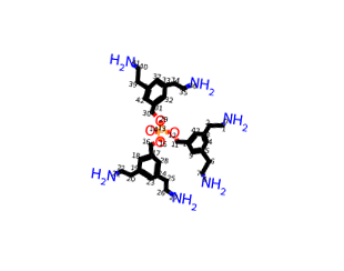 NCCc1cc(CCN)cc(COP(=O)(OCc2cc(CCN)cc(CCN)c2)OCc2cc(CCN)cc(CCN)c2)c1